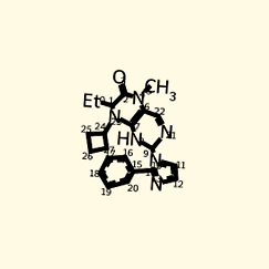 CCC1C(=O)N(C)C2=C(NC(n3ccnc3-c3ccccc3)N=C2)N1C1CCC1